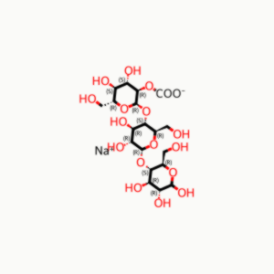 O=C([O-])O[C@H]1[C@@H](O[C@H]2[C@H](O)[C@@H](O)[C@@H](O[C@H]3[C@H](O)[C@@H](O)C(O)O[C@@H]3CO)O[C@@H]2CO)O[C@H](CO)[C@@H](O)[C@@H]1O.[Na+]